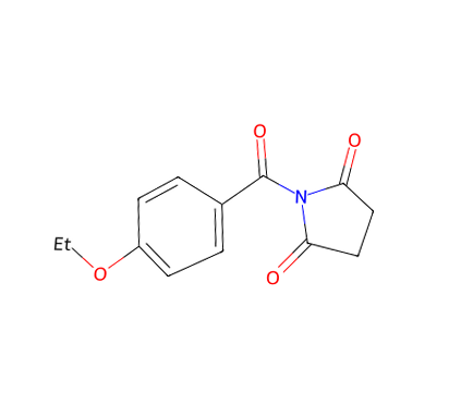 CCOc1ccc(C(=O)N2C(=O)CCC2=O)cc1